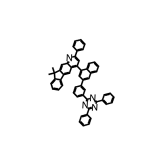 CC1(C)c2ccccc2-c2cc3c(-c4cc(-c5cccc(-c6nc(-c7ccccc7)nc(-c7ccccc7)n6)c5)cc5ccccc45)cc(-c4ccccc4)nc3cc21